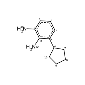 Nc1cccc(C2CCCC2)c1N